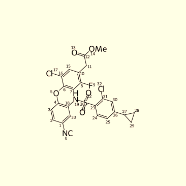 [C-]#[N+]c1ccc(Oc2cc(F)c(CC(=O)OC)cc2Cl)c(NS(=O)(=O)c2ccc(C3CC3)cc2Cl)c1